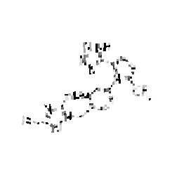 CCCCc1nc(C(C)C)nn1Cc1ccc(-n2c(-c3nnn[nH]3)ccc2C(F)(F)F)cc1